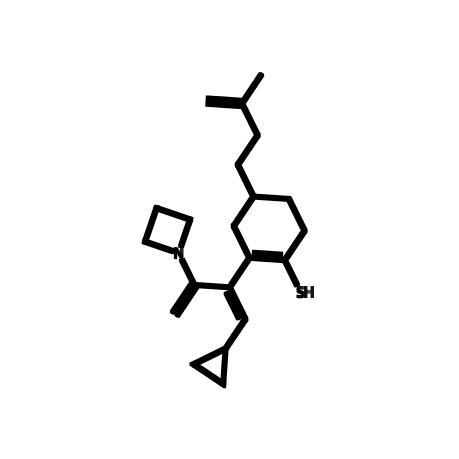 C=C(C)CCC1CCC(S)=C(/C(=C/C2CC2)C(=C)N2CCC2)C1